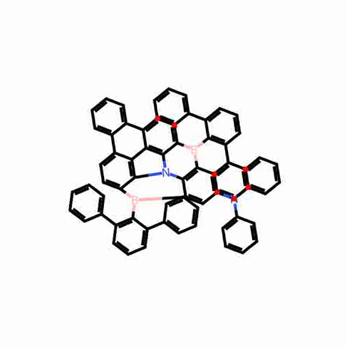 c1ccc(-c2cccc(-c3ccccc3)c2B2c3cc(N(c4ccccc4)c4ccccc4)cc4c3-n3c5c2ccc2c6ccccc6c6ccc(c3c6c25)B4c2c(-c3ccccc3)cccc2-c2ccccc2)cc1